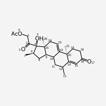 CC(=O)OCC(=O)[C@@]1(O)[C@H](C)CC2C3CC(C)C4=CC(=O)CC[C@]4(C)C3=CC[C@@]21C